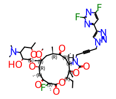 CC[C@H]1OC(=O)[C@@](C)(F)C(=O)[C@H](C)[C@@H](O[C@@H]2OC(C)CC(N(C)C)C2O)[C@](C)(OC)C[C@@H](C)C(=O)[C@H](C)[C@H]2N(CC#CCn3cc(-c4cc(F)nc(F)n4)nn3)C(=O)O[C@]12C